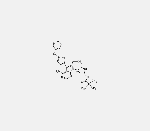 CCc1c(-c2ccc(Oc3ccccc3)cc2)c2c(N)ncnc2n1[C@H]1CNC(OC(=O)C(C)(C)C)C1